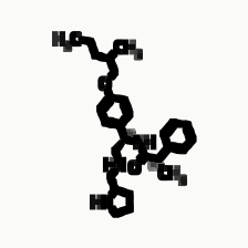 CCCC(C)COc1ccc([C@H](CNCC2CCCN2)NC(=O)[C@@H](C)c2ccccc2)cc1